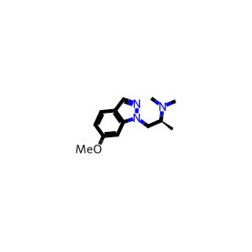 COc1ccc2cnn(C[C@H](C)N(C)C)c2c1